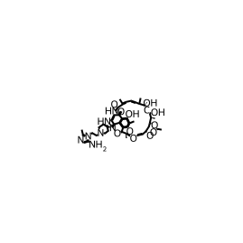 CO[C@H]1/C=C/O[C@@]2(C)Oc3c(C)c(O)c4c(c3C2=O)C2=NC3(CCN(CCn5c(N)cnc5C)CC3)NC2=C(NC(=O)/C(C)=C\C=C\C(C)[C@H](O)CC(O)[C@@H](C)C(OC(C)=O)C1)C4=O